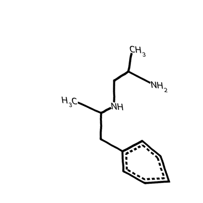 CC(N)CNC(C)Cc1ccccc1